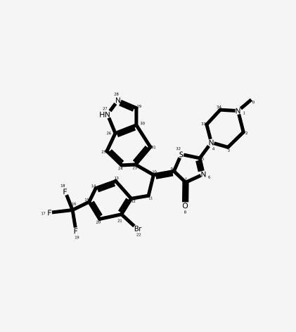 CN1CCN(C2=NC(=O)C(=C(Cc3ccc(C(F)(F)F)cc3Br)c3ccc4[nH]ncc4c3)S2)CC1